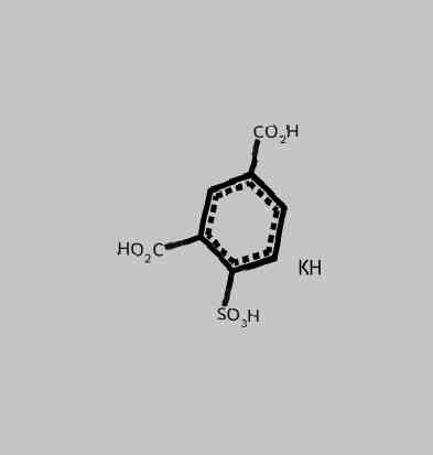 O=C(O)c1ccc(S(=O)(=O)O)c(C(=O)O)c1.[KH]